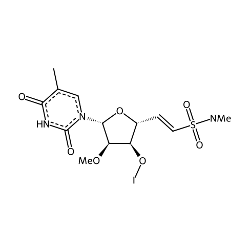 CNS(=O)(=O)/C=C/[C@H]1O[C@@H](n2cc(C)c(=O)[nH]c2=O)[C@H](OC)[C@@H]1OI